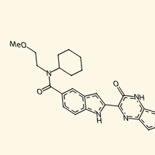 COCCN(C(=O)c1ccc2[nH]c(-c3nc4cscc4[nH]c3=O)cc2c1)C1CCCCC1